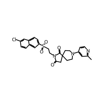 Cc1cc(N2CCC3(CC2)CC(=O)N(CCS(=O)(=O)c2ccc4cc(Cl)ccc4c2)C3=O)ccn1